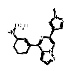 Cn1cc(-c2cn3nccc3c(C3=CC(NC(=O)O)CCC3)n2)cn1